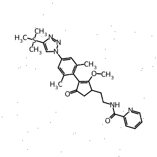 COC1=C(c2c(C)cc(-n3cc(S(C)(C)C)nn3)cc2C)C(=O)CC1CCNC(=O)c1ccccn1